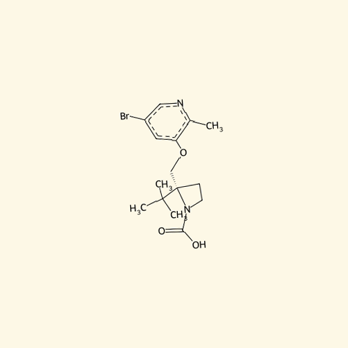 Cc1ncc(Br)cc1OC[C@]1(C(C)(C)C)CCN1C(=O)O